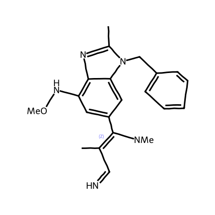 CN/C(=C(/C)C=N)c1cc(NOC)c2nc(C)n(Cc3ccccc3)c2c1